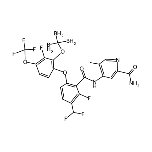 BC(B)(B)Oc1c(Oc2ccc(C(F)F)c(F)c2C(=O)Nc2cc(C(N)=O)ncc2C)ccc(OC(F)(F)F)c1F